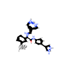 COc1cccc(C(NCc2cn[nH]c2)C(=O)Nc2ccc(-c3cn[nH]c3)cc2)c1